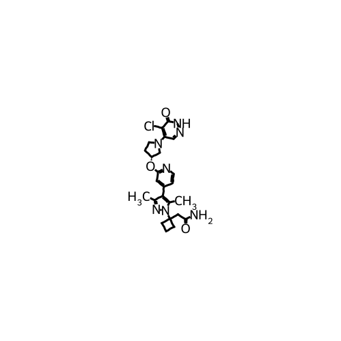 Cc1nn(C2(CC(N)=O)CCC2)c(C)c1-c1ccnc(O[C@@H]2CCN(c3cn[nH]c(=O)c3Cl)C2)c1